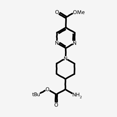 COC(=O)c1cnc(N2CCC(C(N)C(=O)OC(C)(C)C)CC2)nc1